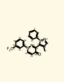 Cc1cnn(-c2ccccc2)c1-c1nn(-c2cccc(C(F)(F)F)c2)ccc1=O